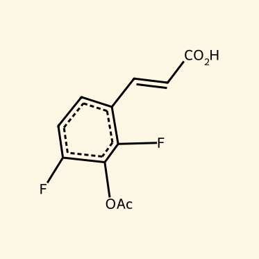 CC(=O)Oc1c(F)ccc(C=CC(=O)O)c1F